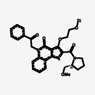 CCOCCOc1c(C(=O)N2CCC[C@@H]2COC)sc2c1c(=O)n(CC(=O)c1ccccc1)c1ccccc21